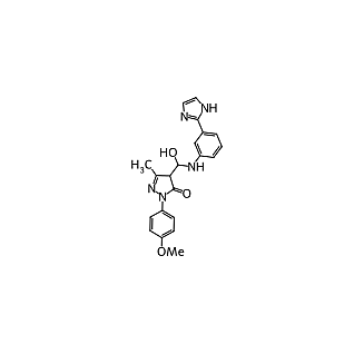 COc1ccc(N2N=C(C)C(C(O)Nc3cccc(-c4ncc[nH]4)c3)C2=O)cc1